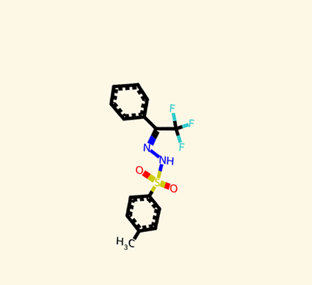 Cc1ccc(S(=O)(=O)NN=C(c2ccccc2)C(F)(F)F)cc1